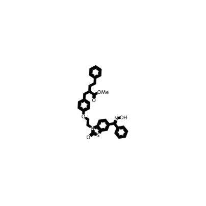 COC(=O)C(CCc1ccccc1)Cc1ccc(OCCn2c(=O)sc3cc(C(=NO)c4ccccc4)ccc32)cc1